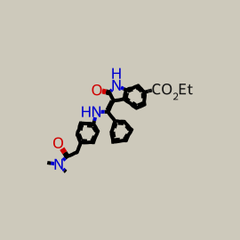 CCOC(=O)c1ccc2c(c1)NC(=O)/C2=C(\Nc1ccc(CC(=O)N(C)C)cc1)c1ccccc1